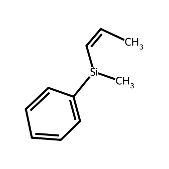 C/C=C\[Si](C)c1ccccc1